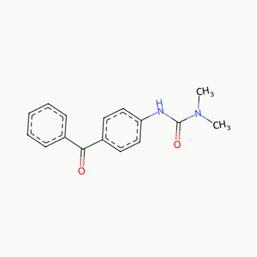 CN(C)C(=O)Nc1ccc(C(=O)c2ccccc2)cc1